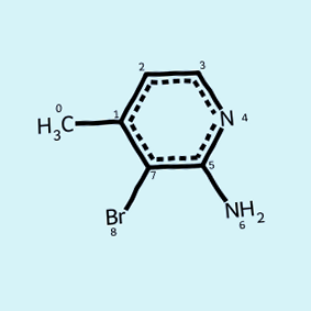 Cc1ccnc(N)c1Br